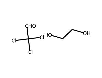 O=CC(Cl)(Cl)Cl.OCCO